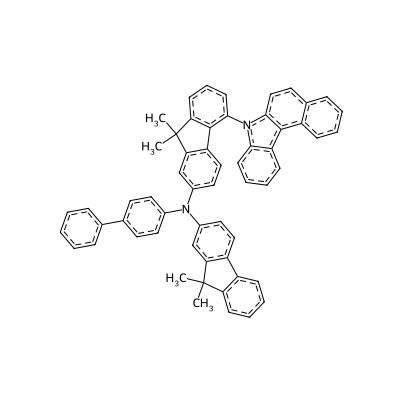 CC1(C)c2ccccc2-c2ccc(N(c3ccc(-c4ccccc4)cc3)c3ccc4c(c3)C(C)(C)c3cccc(-n5c6ccccc6c6c7ccccc7ccc65)c3-4)cc21